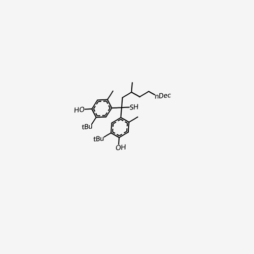 CCCCCCCCCCCCC(C)CC(S)(c1cc(C(C)(C)C)c(O)cc1C)c1cc(C(C)(C)C)c(O)cc1C